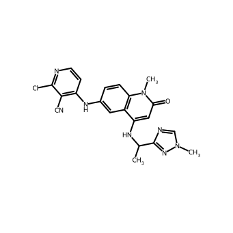 CC(Nc1cc(=O)n(C)c2ccc(Nc3ccnc(Cl)c3C#N)cc12)c1ncn(C)n1